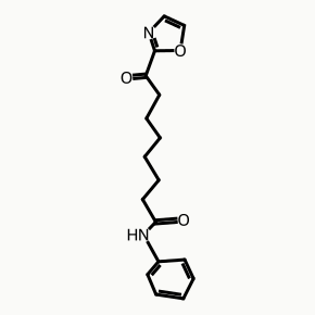 O=C(CCCCCCC(=O)c1ncco1)Nc1ccccc1